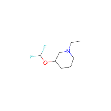 CCN1CCCC(OC(F)F)C1